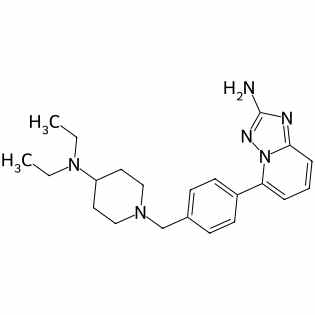 CCN(CC)C1CCN(Cc2ccc(-c3cccc4nc(N)nn34)cc2)CC1